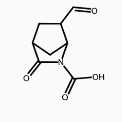 O=CC1CC2CC1N(C(=O)O)C2=O